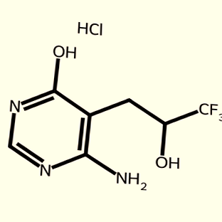 Cl.Nc1ncnc(O)c1CC(O)C(F)(F)F